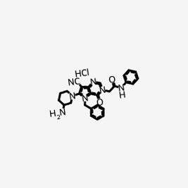 Cl.N#Cc1c(N2CCCC(N)C2)n(Cc2ccccc2)c2c(=O)n(CC(=O)Nc3ccccc3)cnc12